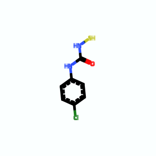 O=C(NS)Nc1ccc(Cl)cc1